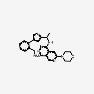 CNCc1ccccc1-c1csc(C(C)Nc2nncc3cnc(N4CCOCC4)cc23)c1